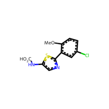 COc1ccc(Cl)cc1-c1ncc(NC(=O)O)s1